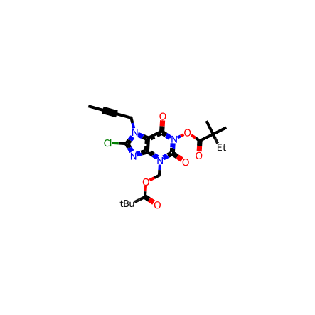 CC#CCn1c(Cl)nc2c1c(=O)n(OC(=O)C(C)(C)CC)c(=O)n2COC(=O)C(C)(C)C